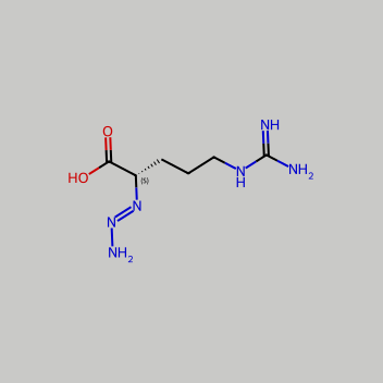 N=C(N)NCCC[C@H](N=NN)C(=O)O